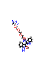 NCCOCCOCCOCCO/N=C1/C(=C2/C(=O)Nc3ccccc32)Nc2ccccc21